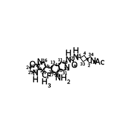 CC(=O)N1CC2(CC(NC(=O)Nc3cc4cc(-c5cnc6c(c5C)NCCO6)c(F)c(N)c4cn3)C2)C1